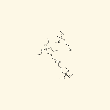 CCO[Si](CCCS)(OCC)OCC.CO[Si](C)(CCCS)OC.CO[Si](CCCS)(OC)OC